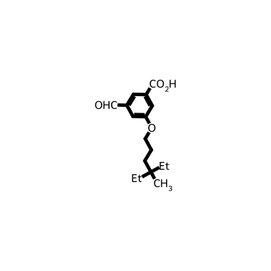 CCC(C)(CC)CCCOc1cc(C=O)cc(C(=O)O)c1